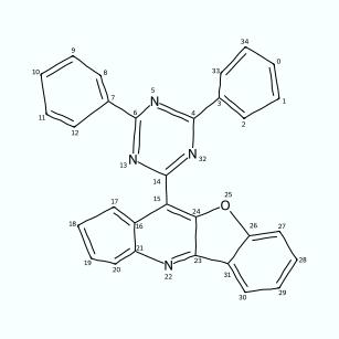 c1ccc(-c2nc(-c3ccccc3)nc(-c3c4ccccc4nc4c3oc3ccccc34)n2)cc1